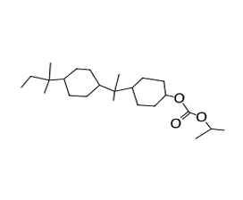 CCC(C)(C)C1CCC(C(C)(C)C2CCC(OC(=O)OC(C)C)CC2)CC1